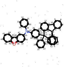 C1=CCC(C23c4ccccc4-c4cccc(c42)C(c2ccccc2)(c2ccc(N(c4ccccc4)c4ccc5oc6ccccc6c5c4)cc2)c2ccccc23)C=C1